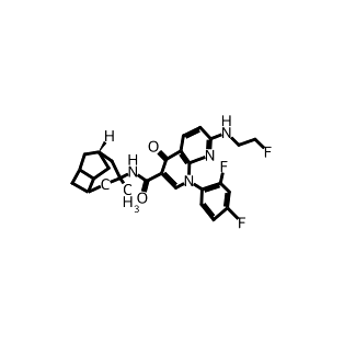 CC1(NC(=O)c2cn(-c3ccc(F)cc3F)c3nc(NCCF)ccc3c2=O)CC2CC3C[C@@H](CC32)C1